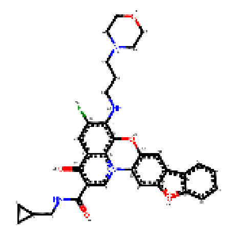 O=C(NCC1CC1)c1cn2c3c(c(NCCCN4CCOCC4)c(F)cc3c1=O)Oc1cc3c(cc1-2)oc1ccccc13